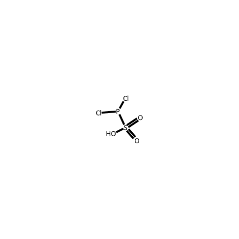 O=S(=O)(O)P(Cl)Cl